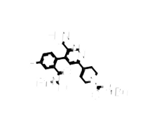 CCN(C(=O)c1cc(F)ccc1-c1cc(C2=CCN(C(=O)OC(C)(C)C)CC2)nnc1CN)C(C)C